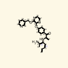 C=C/C=C\C(NC(=C)C(=O)c1ccc(Oc2nccnc2OCc2cccnc2)cc1)=C(/C)N